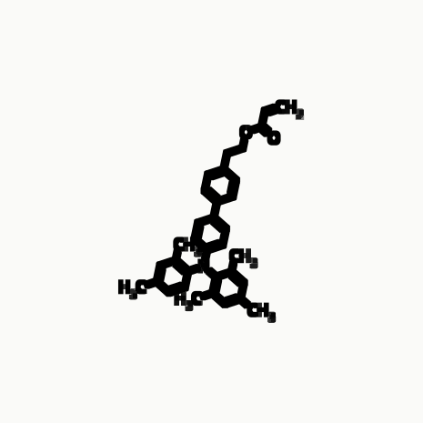 C=CC(=O)OCCc1ccc(-c2ccc(N(c3ccc(C)cc3C)c3c(C)cc(C)cc3C)cc2)cc1